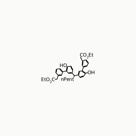 CCCCCC(c1ccc(O)c(-c2cccc(CC(=O)OCC)c2)c1)c1ccc(O)c(-c2cccc(CC(=O)OCC)c2)c1